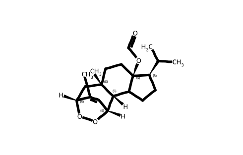 CC1=C[C@H]2OO[C@@H]1C[C@]1(C)CC[C@@]3(OC=O)C(CC[C@@H]3C(C)C)[C@H]21